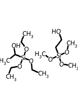 CCO[Si](OCC)(OCC)C(C)O.CO[Si](CCO)(OC)OC